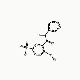 CCOc1ccc(S(=O)(=O)Cl)cc1C(=O)C(O)c1ccccc1